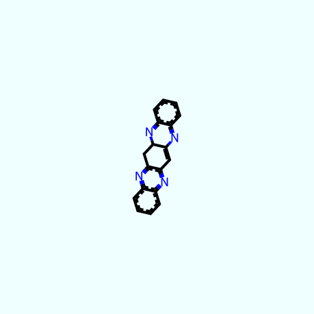 C1=C2N=c3ccccc3=NC2Cc2nc3ccccc3nc21